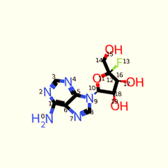 Nc1ncnc2c1ncn2[C@@H]1O[C@](F)(CO)[C@@H](O)[C@H]1O